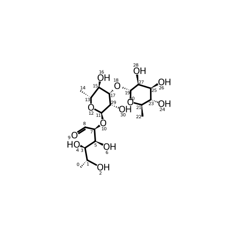 C[C@@H](O)[C@@H](O)[C@H](O)[C@@H](C=O)O[C@H]1O[C@H](C)[C@@H](O)[C@H](O[C@H]2O[C@H](C)[C@@H](O)[C@H](O)[C@@H]2O)[C@@H]1O